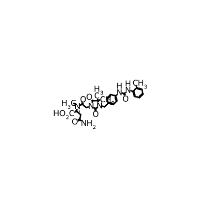 Cc1ccccc1NC(=O)Nc1ccc(CN2C(=O)N(CC(=O)N(C)[C@@H](CC(N)=O)C(=O)O)C(=O)C2(C)C)cc1